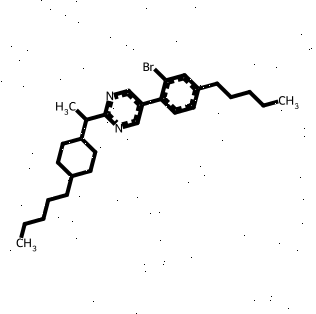 CCCCCc1ccc(-c2cnc(C(C)C3CCC(CCCCC)CC3)nc2)c(Br)c1